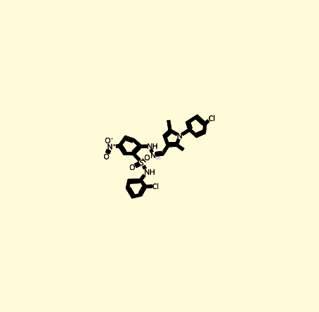 Cc1cc(/C=N\Nc2ccc([N+](=O)[O-])cc2S(=O)(=O)Nc2ccccc2Cl)c(C)n1-c1ccc(Cl)cc1